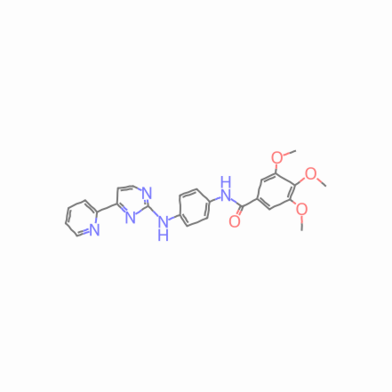 COc1cc(C(=O)Nc2ccc(Nc3nccc(-c4ccccn4)n3)cc2)cc(OC)c1OC